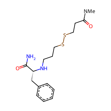 CNC(=O)CCSSCCCN[C@H](Cc1ccccc1)C(N)=O